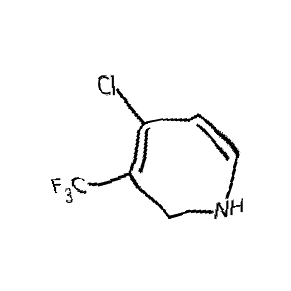 FC(F)(F)C1=C(Cl)C=CNC1